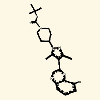 Cc1nn(C2CCN(C(=O)OC(C)(C)C)CC2)c(C)c1-c1cnc2cccc(Br)c2n1